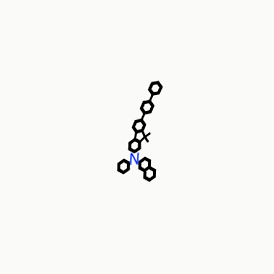 CC1(C)c2cc(-c3ccc(-c4ccccc4)cc3)ccc2-c2ccc(N(c3ccccc3)c3ccc4ccccc4c3)cc21